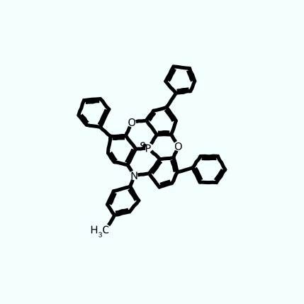 Cc1ccc(N2c3ccc(-c4ccccc4)c4c3P3(=S)c5c(cc(-c6ccccc6)cc5Oc5c(-c6ccccc6)ccc2c53)O4)cc1